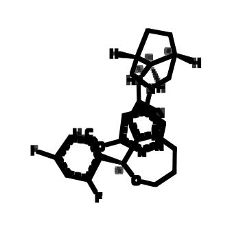 COc1cc(N2C[C@H]3CC[C@@H](C2)[C@@H]3Nc2nc3n(n2)CCCO[C@H]3c2ccc(F)cc2F)cnn1